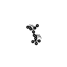 CC1(C)c2ccccc2-c2ccc(N(c3ccc(-c4ccccc4)cc3)c3ccc(-c4ccc5c(c4)C(C)(C)c4cc6c(cc4-5)c(-c4ccccc4)c(-c4ccccc4)n6-c4ccccc4)cc3)cc21